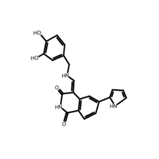 O=C1NC(=O)c2ccc(-c3ccc[nH]3)cc2C1=CNCc1ccc(O)c(O)c1